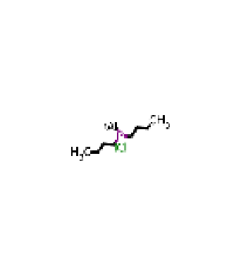 CCCC[P]([Al])CCCC.Cl